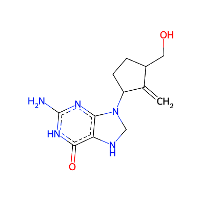 C=C1C(CO)CCC1N1CNc2c1nc(N)[nH]c2=O